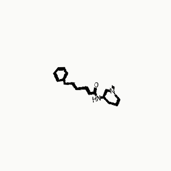 CN1CCCC(NC(=O)C=CCCCc2ccccc2)C1